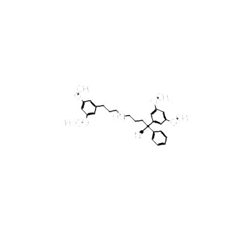 COc1cc(CCCNCCCC(C#N)(c2ccccc2)c2cc(OC)cc(OC)c2)cc(OC)c1